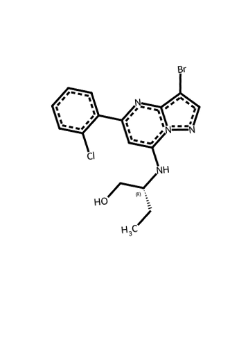 CC[C@H](CO)Nc1cc(-c2ccccc2Cl)nc2c(Br)cnn12